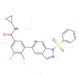 Cc1c(F)cc(C(=O)NC2CC2)cc1-c1cc2cnn(S(=O)(=O)c3ccccc3)c2cn1